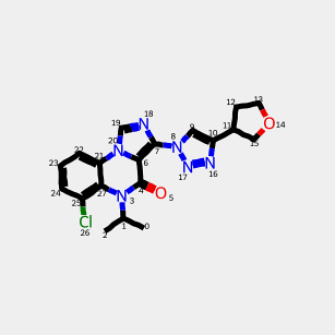 CC(C)n1c(=O)c2c(-n3cc(C4CCOC4)nn3)ncn2c2cccc(Cl)c21